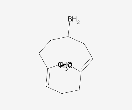 BC1C/C=C(\C)CC/C=C(\C=O)CC1